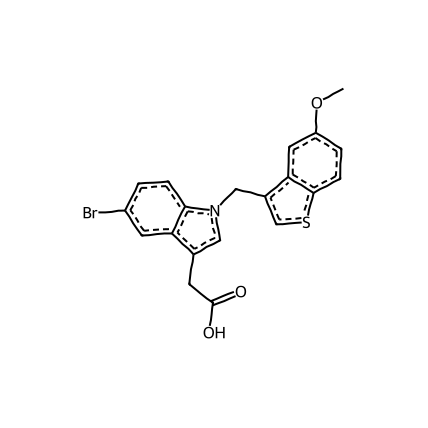 COc1ccc2scc(Cn3cc(CC(=O)O)c4cc(Br)ccc43)c2c1